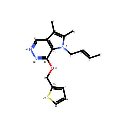 CC=CCn1c(C)c(C)c2cnnc(OCc3cccs3)c21